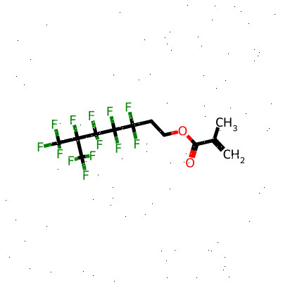 C=C(C)C(=O)OCCC(F)(F)C(F)(F)C(F)(F)C(F)(C(F)(F)F)C(F)(F)F